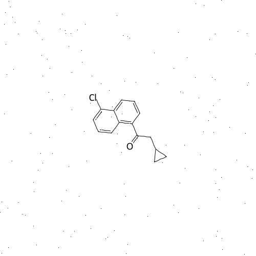 O=C(CC1CC1)c1cccc2c(Cl)cccc12